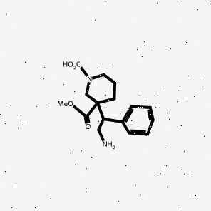 COC(=O)C1(C(CN)c2ccccc2)CCCN(C(=O)O)C1